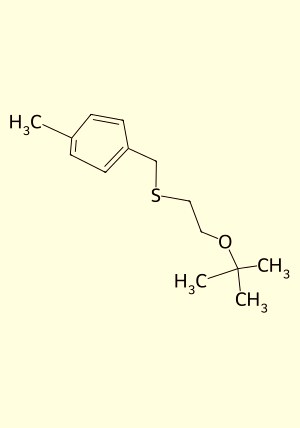 Cc1ccc(CSCCOC(C)(C)C)cc1